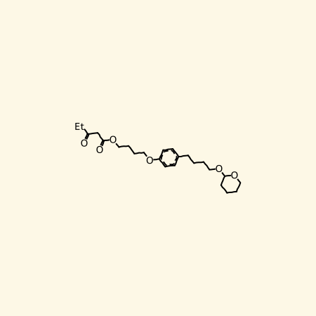 CCC(=O)CC(=O)OCCCCOc1ccc(CCCCOC2CCCCO2)cc1